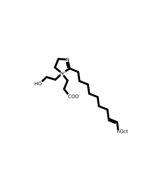 CCCCCCCC/C=C/CCCCCCCC1=NCC[N+]1(CCO)CCC(=O)[O-]